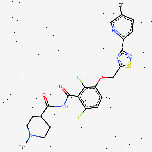 CN1CCC(C(=O)NC(=O)c2c(F)ccc(OCc3nc(-c4ccc(C(F)(F)F)cn4)ns3)c2F)CC1